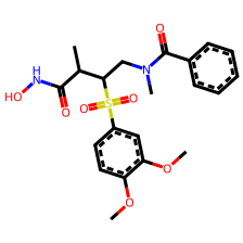 COc1ccc(S(=O)(=O)C(CN(C)C(=O)c2ccccc2)C(C)C(=O)NO)cc1OC